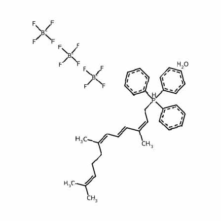 CC(C)=CCCC(C)=CC=CC(C)=CC[PH](c1ccccc1)(c1ccccc1)c1ccccc1.F[B-](F)(F)F.F[B-](F)(F)F.F[B-](F)(F)F.O